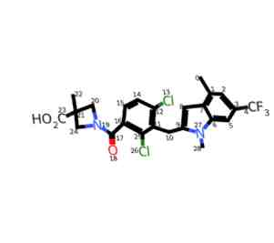 Cc1cc(C(F)(F)F)cc2c1cc(Cc1c(Cl)ccc(C(=O)N3CC(C)(C(=O)O)C3)c1Cl)n2C